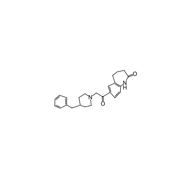 O=C1CCCc2cc(C(=O)CN3CCC(Cc4ccccc4)CC3)ccc2N1